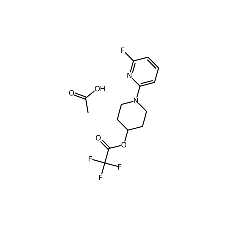 CC(=O)O.O=C(OC1CCN(c2cccc(F)n2)CC1)C(F)(F)F